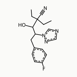 CCC(C#N)(CC)C(O)C(Cc1ccc(F)cc1)n1cncn1